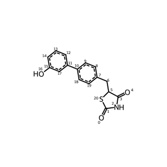 O=C1NC(=O)C(Cc2ccc(-c3cccc(O)c3)cc2)S1